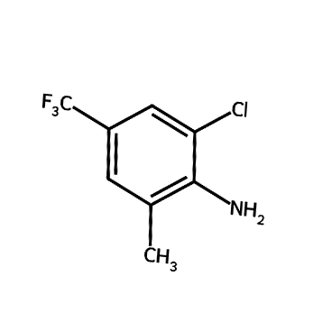 Cc1cc(C(F)(F)F)cc(Cl)c1N